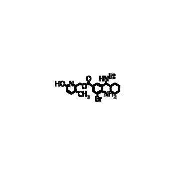 CCNC(c1cc(C(=O)OCc2nc(O)ccc2C)cc(Br)c1N)C1CCCCC1